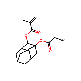 C=C(C)C(=O)OC1C2CC3CC(C2)CC1(OC(=O)CC(C)=O)C3